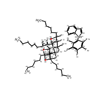 CCCCCCC(F)(F)C(F)(F)[C](F)(F)[Al-]([C](F)(F)C(F)(F)C(F)(F)CCCCCC)([C](F)(F)C(F)(F)C(F)(F)CCCCCC)[C](F)(F)C(F)(F)C(F)(F)CCCCCC.Fc1c(F)c(F)c([NH+]2C=Cc3ccccc32)c(F)c1F